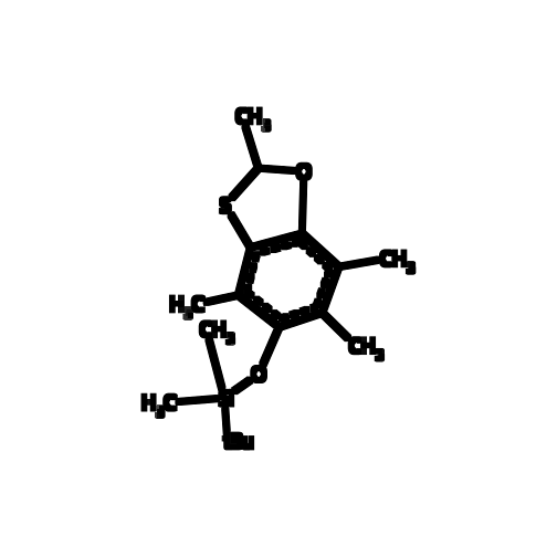 Cc1c(C)c2c(c(C)c1O[Si](C)(C)C(C)(C)C)SC(C)O2